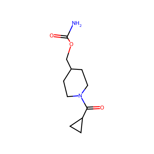 NC(=O)OCC1CCN(C(=O)C2CC2)CC1